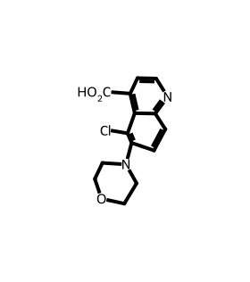 O=C(O)c1ccnc2ccc(N3CCOCC3)c(Cl)c12